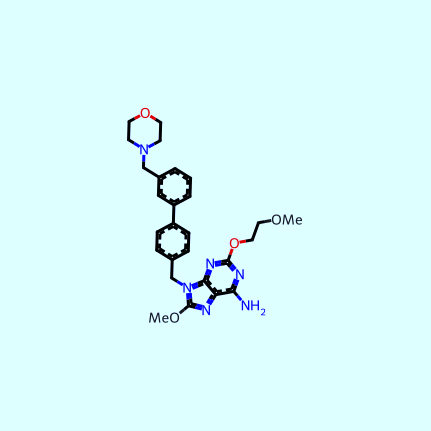 COCCOc1nc(N)c2nc(OC)n(Cc3ccc(-c4cccc(CN5CCOCC5)c4)cc3)c2n1